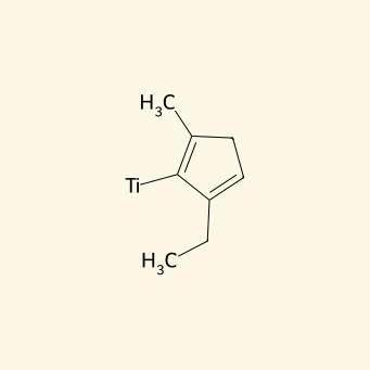 CCC1=CCC(C)=[C]1[Ti]